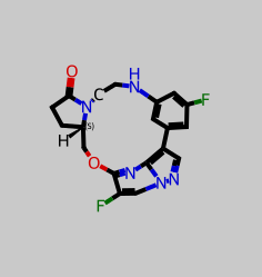 O=C1CC[C@H]2COc3nc4c(cnn4cc3F)-c3cc(F)cc(c3)NCCN12